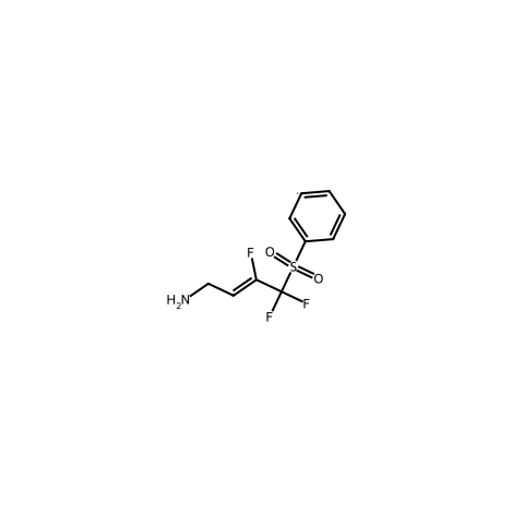 NC/C=C(\F)C(F)(F)S(=O)(=O)c1c[c]ccc1